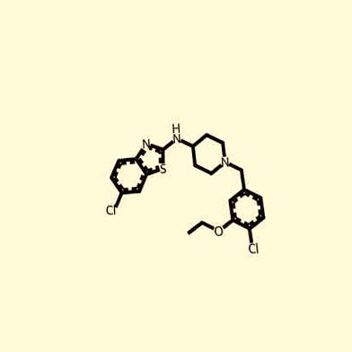 CCOc1cc(CN2CCC(Nc3nc4ccc(Cl)cc4s3)CC2)ccc1Cl